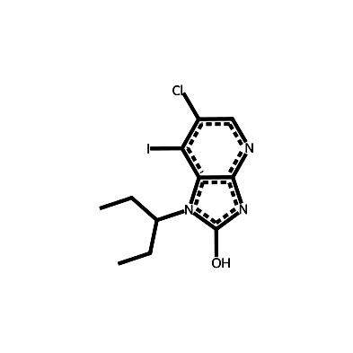 CCC(CC)n1c(O)nc2ncc(Cl)c(I)c21